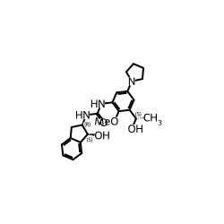 COc1c(NC(=O)N[C@@H]2Cc3ccccc3[C@@H]2O)cc(N2CCCC2)cc1[C@H](C)O